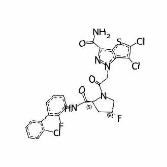 NC(=O)c1nn(CC(=O)N2C[C@H](F)C[C@H]2C(=O)Nc2cccc(-c3ccccc3Cl)c2F)c2c(Cl)c(Cl)sc12